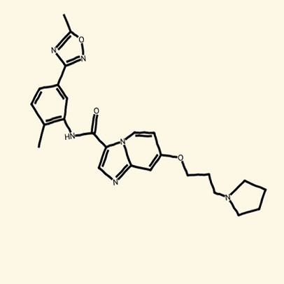 Cc1nc(-c2ccc(C)c(NC(=O)c3cnc4cc(OCCCN5CCCC5)ccn34)c2)no1